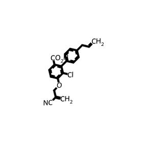 C=CCc1ccc(-c2c(C(=O)O)ccc(OCC(=C)C#N)c2Cl)cc1